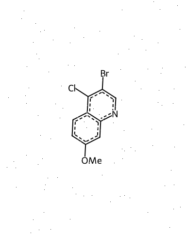 COc1ccc2c(Cl)c(Br)cnc2c1